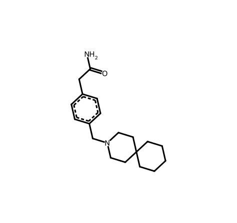 NC(=O)Cc1ccc(CN2CCC3(CCCCC3)CC2)cc1